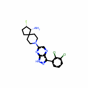 N[C@H]1[C@@H](F)CCC12CCN(c1cnc3c(-c4cccc(Cl)c4Cl)n[nH]c3n1)CC2